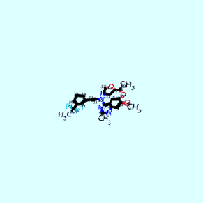 COc1cc2nc(C)nc(NC#Cc3cccc(C(C)(F)F)c3F)c2cc1OC(C)[C@H]1CCCO1